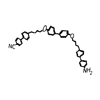 N#Cc1ccc(-c2ccc(CCCCOc3ccc(-c4ccc(OCCCCc5ccc(-c6ccc(N)cc6)cc5)cc4)cc3)cc2)cc1